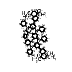 CC1(C)CCC(C)(C)c2cc(-c3cc4c5c(c3)N(c3ccccc3)c3cc6c(cc3B5c3ccccc3N4c3ccccc3)[SH]3c4c(cc(-c5ccc7c(c5)C(C)(C)CCC7(C)C)cc4N(c4ccccc4)c4sc5ccccc5c43)N6c3ccccc3)ccc21